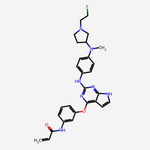 C=CC(=O)Nc1cccc(Oc2nc(Nc3ccc(N(C)C4CCN(CCF)C4)cc3)nc3[nH]ccc23)c1